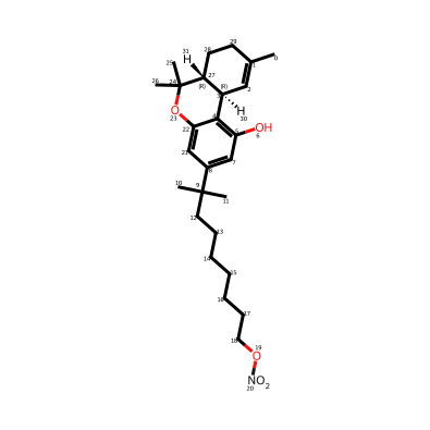 CC1=C[C@H]2c3c(O)cc(C(C)(C)CCCCCCCO[N+](=O)[O-])cc3OC(C)(C)[C@@H]2CC1